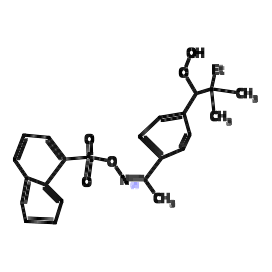 CCC(C)(C)C(OO)c1ccc(/C(C)=N\OS(=O)(=O)c2cccc3ccccc23)cc1